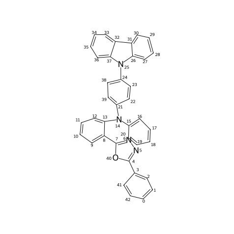 c1ccc(-c2nnc(-c3ccccc3N(c3ccccc3)c3ccc(-n4c5ccccc5c5ccccc54)cc3)o2)cc1